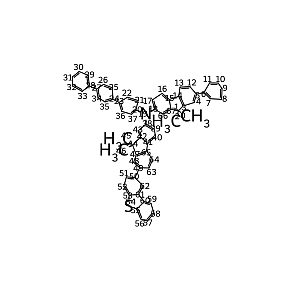 CC1(C)c2cc(-c3ccccc3)ccc2-c2ccc(N(c3ccc(-c4ccc(-c5ccccc5)cc4)cc3)c3ccc4c(c3)C(C)(C)c3cc(-c5ccc6sc7ccccc7c6c5)ccc3-4)cc21